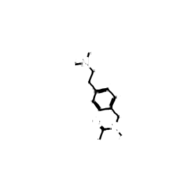 CC(=O)N(C)Cc1ccc(CCN(C)C)cc1